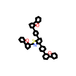 c1ccc2c(c1)oc1c(-c3ccc(-c4ccc(-c5ccc(-c6cccc7c6oc6ccccc67)cc5)c5sc(-c6cccc7c6oc6ccccc67)nc45)cc3)cccc12